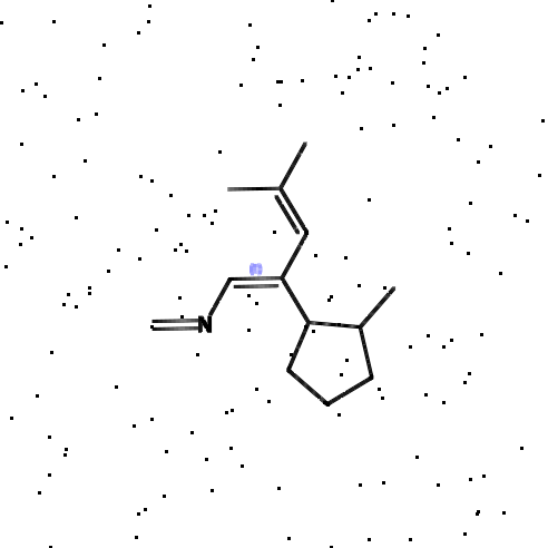 C=N/C=C(/C=C(C)C)C1CCCC1C